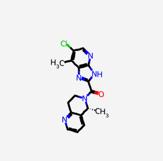 Cc1c(Cl)cnc2[nH]c(C(=O)N3CCc4ncccc4[C@H]3C)nc12